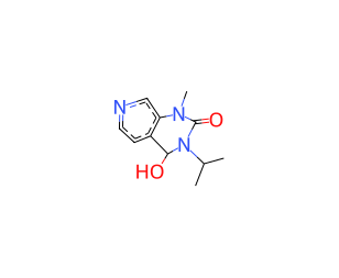 CC(C)N1C(=O)N(C)c2cnccc2C1O